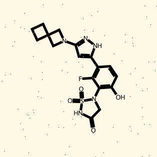 O=C1CN(c2c(O)ccc(-c3cc(N4CC5(CCC5)C4)n[nH]3)c2F)S(=O)(=O)N1